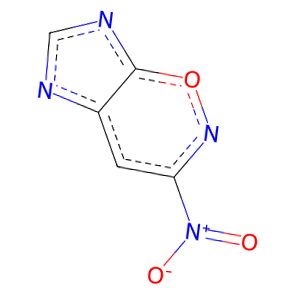 O=[N+]([O-])c1cc2ncnc-2on1